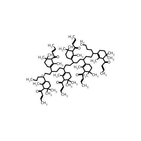 C/C=C/C(=O)C1C(C)=C(C(CCCC)CCC(CCC(CCC(CCC(CC[C@H](CCC)C2=C(C)C(C(=O)/C=C/C)C(C)(C)CC2)C2=C(C)C(C(=O)/C=C/C)C(C)(C)CC2)C2=C(C)C(C(=O)/C=C/C)C(C)(C)CC2)C2=C(C)C(C(=O)/C=C/C)C(C)(C)CC2)C2=C(C)C(C(=O)/C=C/C)C(C)(C)CC2)CCC1(C)C